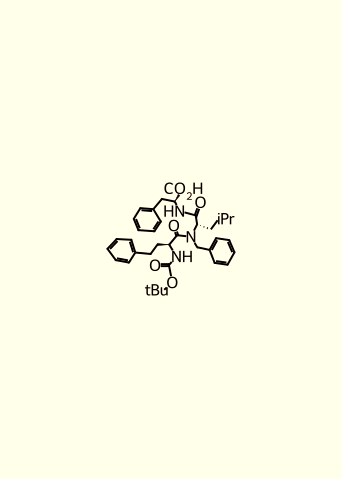 CC(C)C[C@@H](C(=O)N[C@@H](Cc1ccccc1)C(=O)O)N(Cc1ccccc1)C(=O)[C@H](CCc1ccccc1)NC(=O)OC(C)(C)C